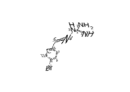 N=C(N)NN=Cc1ccc(Br)cc1